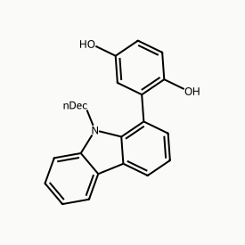 CCCCCCCCCCn1c2ccccc2c2cccc(-c3cc(O)ccc3O)c21